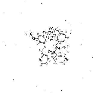 COc1cc(COc2cccc([C@H]3CCNC[C@@H]3C(=O)N(Cc3cccc(C)c3C)C3CC3)c2)cc(OC)c1